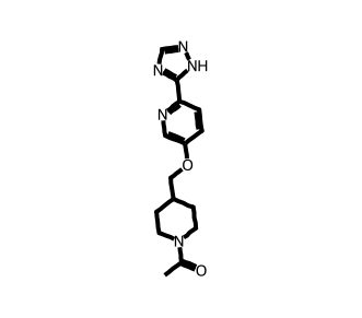 CC(=O)N1CCC(COc2ccc(-c3ncn[nH]3)nc2)CC1